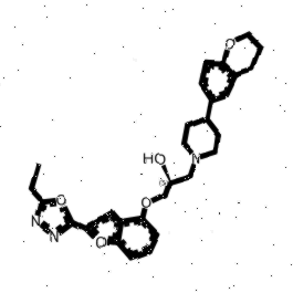 CCc1nnc(-c2cc3c(OC[C@@H](O)CN4CCC(c5ccc6c(c5)CCCO6)CC4)cccc3o2)o1